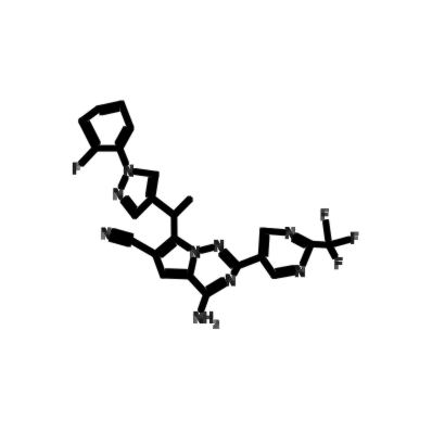 CC(c1cnn(-c2ccccc2F)c1)c1c(C#N)cc2c(N)nc(-c3cnc(C(F)(F)F)nc3)nn12